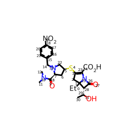 CCC12CC(S[C@H]3C[C@@H](C(=O)N(C)C)N(Cc4ccc([N+](=O)[O-])cc4)C3)=C(C(=O)O)N1C(=O)[C@@H]2C(C)O